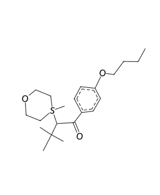 CCCCOc1ccc(C(=O)C(C(C)(C)C)S2(C)CCOCC2)cc1